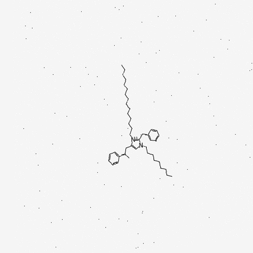 CCCCCCCCCCCCCCC[n+]1c(CC(C)c2ccccc2)cn(CCCCCCCCC)c1Cc1ccccc1